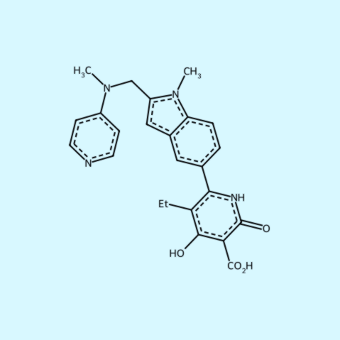 CCc1c(-c2ccc3c(c2)cc(CN(C)c2ccncc2)n3C)[nH]c(=O)c(C(=O)O)c1O